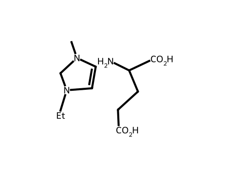 CCN1C=CN(C)C1.NC(CCC(=O)O)C(=O)O